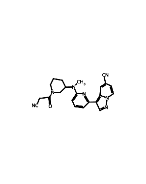 CN(c1cccc(-c2cnn3ccc(C#N)cc23)n1)C1CCCN(C(=O)CC#N)C1